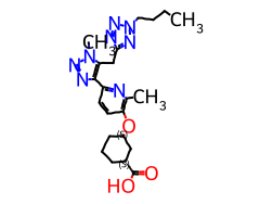 CCCCn1nnc(Cc2c(-c3ccc(O[C@H]4CCC[C@H](C(=O)O)C4)c(C)n3)nnn2C)n1